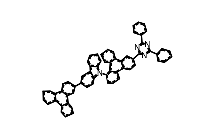 c1ccc(-c2nc(-c3ccccc3)nc(-c3ccc4c(c3)c3ccccc3c3c(-n5c6ccccc6c6cc(-c7ccc8c9ccccc9c9ccccc9c8c7)ccc65)cccc43)n2)cc1